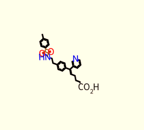 Cc1ccc(S(=O)(=O)NCCc2ccc(C(=CCCCC(=O)O)c3cccnc3)cc2)cc1